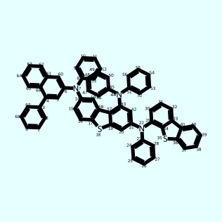 c1ccc(-c2cc(N(c3ccccc3)c3ccc4sc5cc(N(c6ccccc6)c6cccc7c6sc6ccccc67)cc(N(c6ccccc6)c6ccccc6)c5c4c3)cc3ccccc23)cc1